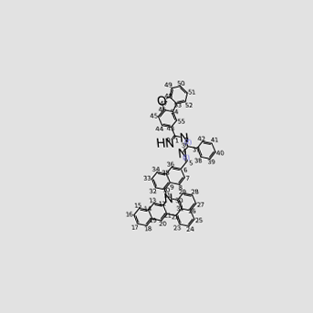 N=C(/N=C(\N=C\c1ccc2c(N3c4cc5ccccc5cc4-c4cccc5cccc3c45)cccc2c1)c1ccccc1)c1ccc2oc3ccccc3c2c1